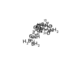 BCC(B)C(=O)Nc1ccc(S(=O)(=O)O)c(/N=N/c2c(C)c(C(N)=O)c(=O)n(CC)c2O)c1